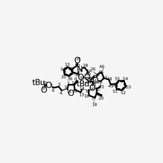 C=C1C[C@H](CCCOC(=O)C(C)(C)C)OC1CC[C@H]1C[C@@H](C)C(=C)C(C[C@@H]2O[C@H](C[C@@H](CN3C(=O)c4ccccc4C3=O)O[Si](C)(C)C(C)(C)C)[C@H](C)C2CCc2ccccc2)O1